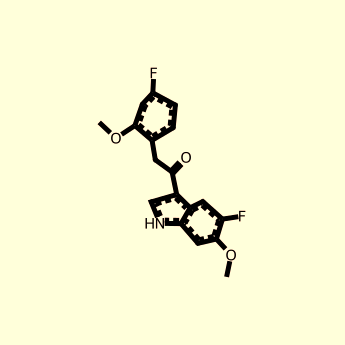 COc1cc2[nH]cc(C(=O)Cc3ccc(F)cc3OC)c2cc1F